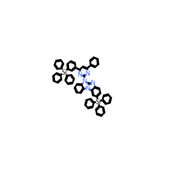 c1ccc(-c2cc(-c3cccc([Si](c4ccccc4)(c4ccccc4)c4ccccc4)c3)nc(-n3c4ccccc4n4c5cc([Si](c6ccccc6)(c6ccccc6)c6ccccc6)ccc5nc34)n2)cc1